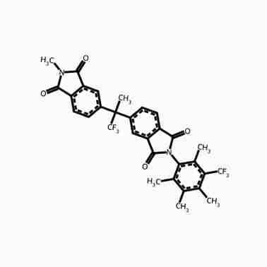 Cc1c(C)c(N2C(=O)c3ccc(C(C)(c4ccc5c(c4)C(=O)N(C)C5=O)C(F)(F)F)cc3C2=O)c(C)c(C(F)(F)F)c1C